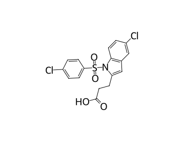 O=C(O)CCc1cc2cc(Cl)ccc2n1S(=O)(=O)c1ccc(Cl)cc1